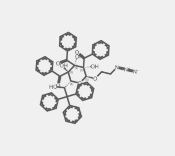 [N-]=[N+]=NCCO[C@H]1O[C@H](C(O)C(c2ccccc2)(c2ccccc2)c2ccccc2)[C@](O)(C(=O)c2ccccc2)[C@@](O)(C(=O)c2ccccc2)[C@@]1(O)C(=O)c1ccccc1